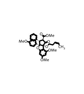 C/C=C\CCO[C@@]12C(=O)[C@H](C(=O)OC)[C@@H](c3ccccc3)[C@]1(c1ccc(OC)cc1)Oc1cc(OC)cc(OC)c12